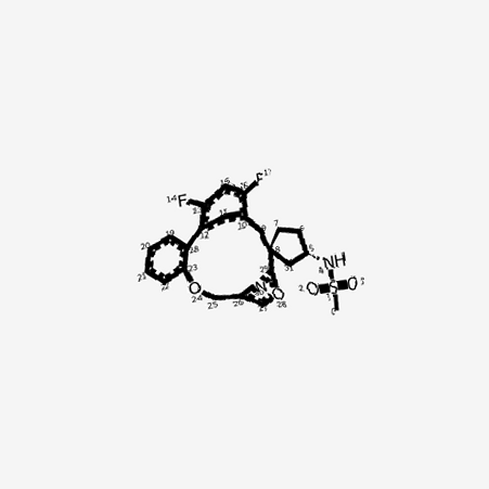 CS(=O)(=O)N[C@H]1CC[C@@]2(Cc3cc(c(F)cc3F)-c3ccccc3OCc3coc2n3)C1